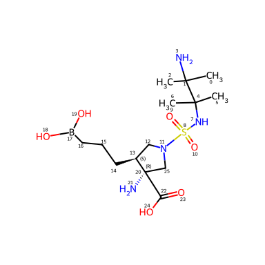 CC(C)(N)C(C)(C)NS(=O)(=O)N1C[C@H](CCCB(O)O)[C@](N)(C(=O)O)C1